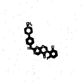 CN1CCN(c2ccc(Nc3ncc4c(n3)OCN(c3c(F)cccc3Cl)C4=O)cc2)CC1